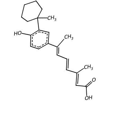 CC(/C=C/C=C(\C)c1ccc(O)c(C2(C)CCCCC2)c1)=C\C(=O)O